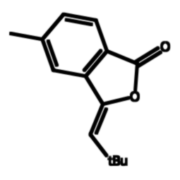 Cc1ccc2c(c1)/C(=C/C(C)(C)C)OC2=O